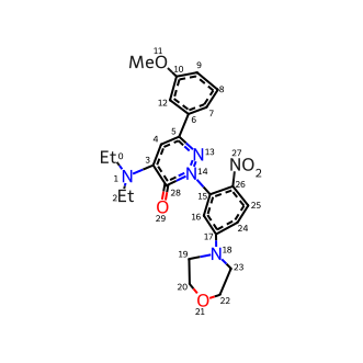 CCN(CC)c1cc(-c2cccc(OC)c2)nn(-c2cc(N3CCOCC3)ccc2[N+](=O)[O-])c1=O